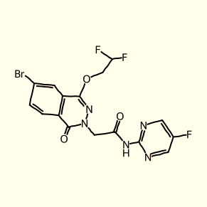 O=C(Cn1nc(OCC(F)F)c2cc(Br)ccc2c1=O)Nc1ncc(F)cn1